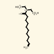 C=CCCCCCCCCC(=O)N(CC(=O)O)CC(=O)O